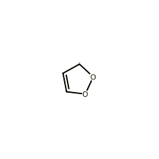 [CH]1C=COO1